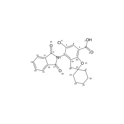 O=C(O)c1cc(Cl)c(N2C(=O)c3ccccc3C2=O)c2c1OC1(CCCCC1)C2